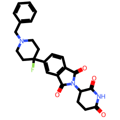 O=C1CCC(N2C(=O)c3ccc(C4(F)CCN(Cc5ccccc5)CC4)cc3C2=O)C(=O)N1